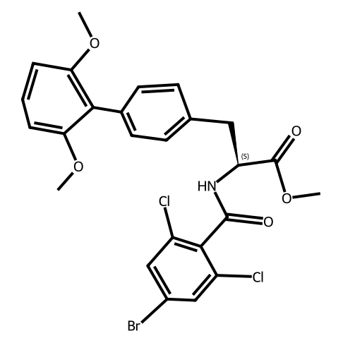 COC(=O)[C@H](Cc1ccc(-c2c(OC)cccc2OC)cc1)NC(=O)c1c(Cl)cc(Br)cc1Cl